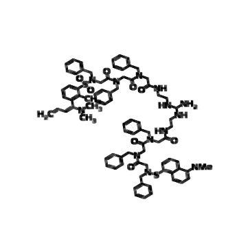 C=C/C=C(\c1cccc(S(=O)(=O)N(CC(=O)N(CC(=O)N(CC(=O)NCCNC(N)NCCNC(=O)CN(Cc2ccccc2)C(=O)CN(Cc2ccccc2)C(=O)CN(Cc2ccccc2)Sc2cccc3c(NC)cccc23)Cc2ccccc2)Cc2ccccc2)Cc2ccccc2)c1C)N(C)C